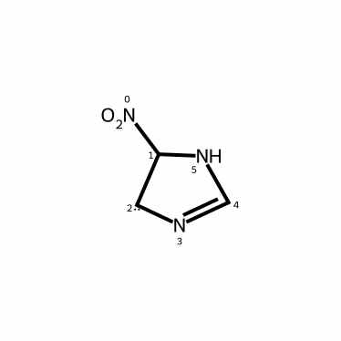 O=[N+]([O-])C1[C]N=CN1